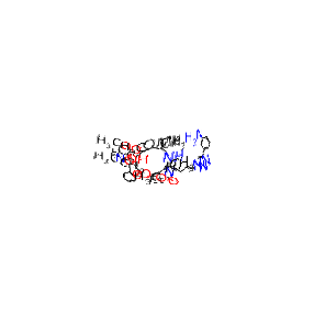 CC[C@H]1OC(=O)[C@H](Cc2ccccc2)C(=O)[C@H](C)[C@@H](O[C@@H]2O[C@H](C)CC(N(C)C)C2O)[C@](C)(OC)C[C@@H](C)CN[C@H](C)[C@H]2N(CCCCn3cc(-c4cccc(N)c4)nn3)C(=O)O[C@]12C